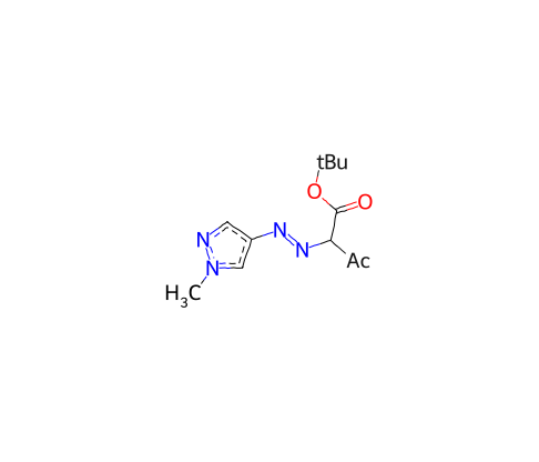 CC(=O)C(N=Nc1cnn(C)c1)C(=O)OC(C)(C)C